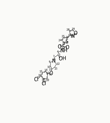 O=S(=O)(NC[C@@H](O)CN1CCC(Oc2ccc(Cl)c(Cl)c2)CC1)c1ccc(-c2ccon2)s1